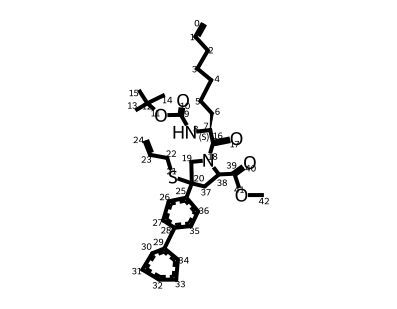 C=CCCCCC[C@H](NC(=O)OC(C)(C)C)C(=O)N1CC(SCC=C)(c2ccc(-c3ccccc3)cc2)CC1C(=O)OC